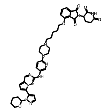 O=C1CCC(N2C(=O)c3cccc(OCCCCCN4CCN(c5ccc(Nc6ncc7ccc(-c8ccnn8C8CCCCO8)n7n6)cn5)CC4)c3C2=O)C(=O)N1